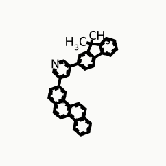 CC1(C)c2ccccc2-c2ccc(-c3cncc(-c4ccc5ccc6c7ccccc7ccc6c5c4)c3)cc21